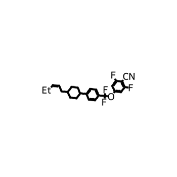 CC/C=C\CC1CCC(c2ccc(C(F)(F)Oc3cc(F)c(C#N)c(F)c3)cc2)CC1